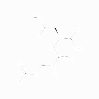 COC(=O)C[C@H](NC(=O)[C@H](C)CSC(C)=O)C(=O)O